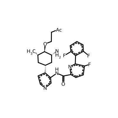 CC(=O)CCO[C@H]1[C@H](N)C[C@H](c2ccncc2NC(=O)c2ccc(F)c(-c3c(F)cccc3F)n2)C[C@@H]1C